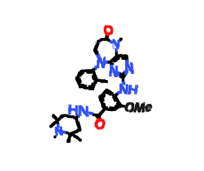 COc1cc(C(=O)NC2CC(C)(C)N(C)C(C)(C)C2)ccc1Nc1ncc2c(n1)N(c1ccccc1C)CCC(=O)N2C